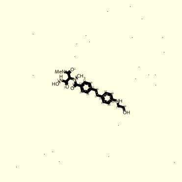 CNC(=O)C(C(=O)NO)N(C)C(=O)c1ccc(CCc2ccc(NCCO)cc2)cc1